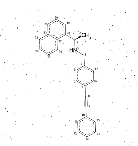 C[C@@H](NCc1ccc(C#Cc2ccccc2)cc1)c1cccc2ccccc12